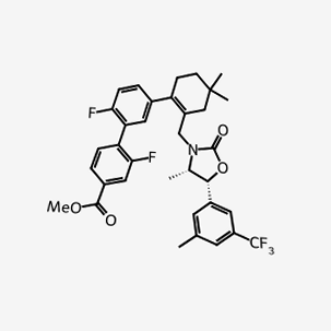 COC(=O)c1ccc(-c2cc(C3=C(CN4C(=O)O[C@H](c5cc(C)cc(C(F)(F)F)c5)[C@@H]4C)CC(C)(C)CC3)ccc2F)c(F)c1